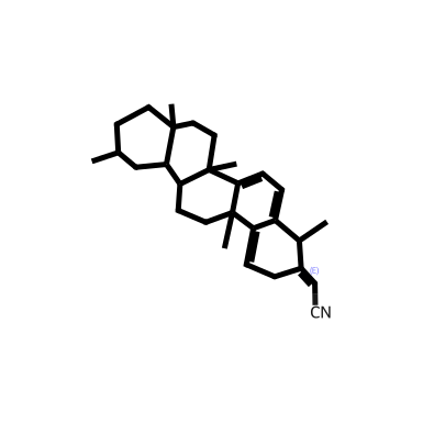 CC1CCC2(C)CCC3(C)C4=CC=C5C(=CC/C(=C\C#N)C5C)C4(C)CCC3C2C1